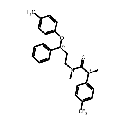 C[C@H](C(=O)N(C)CC[C@H](Oc1ccc(C(F)(F)F)cc1)c1ccccc1)c1ccc(C(F)(F)F)cc1